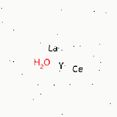 O.[Ce].[La].[Y]